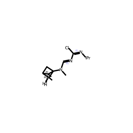 CC(C)/N=C(Cl)\N=C\N(C)C12CC([C@H]1C)[C@H]2C